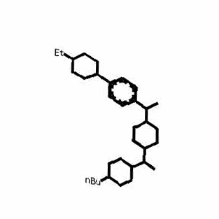 CCCCC1CCC(C(C)C2CCC(C(C)c3ccc(C4CCC(CC)CC4)cc3)CC2)CC1